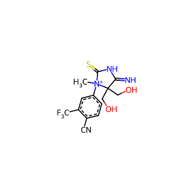 C[N+]1(c2ccc(C#N)c(C(F)(F)F)c2)C(=S)NC(=N)C1(CO)CO